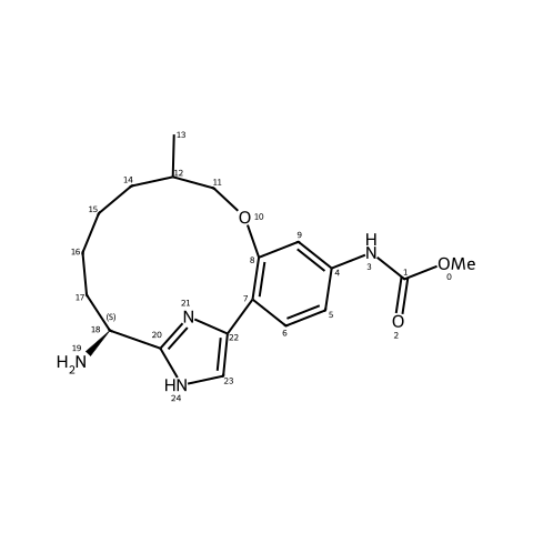 COC(=O)Nc1ccc2c(c1)OCC(C)CCCC[C@H](N)c1nc-2c[nH]1